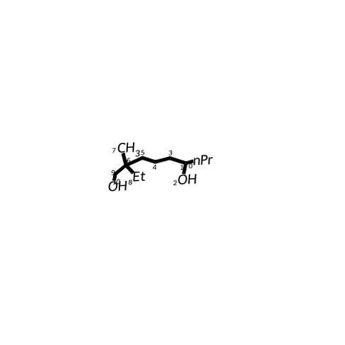 CCCC(O)CCCC(C)(CC)CO